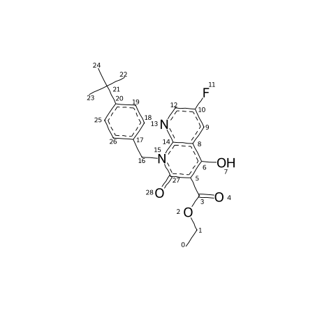 CCOC(=O)c1c(O)c2cc(F)cnc2n(Cc2ccc(C(C)(C)C)cc2)c1=O